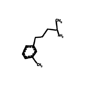 Cc1cccc(CCCC(C)N)c1